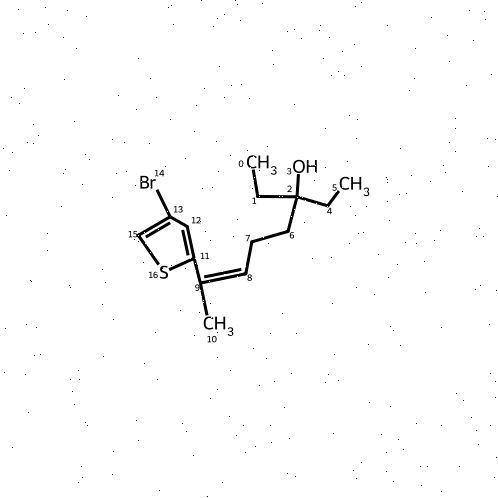 CCC(O)(CC)CC/C=C(/C)c1cc(Br)cs1